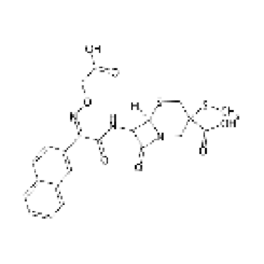 CSC1(C(=O)O)CS[C@@H]2C(NC(=O)C(=NOCC(=O)O)c3ccc4ccccc4c3)C(=O)N2C1